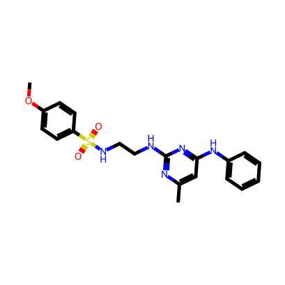 COc1ccc(S(=O)(=O)NCCNc2nc(C)cc(Nc3ccccc3)n2)cc1